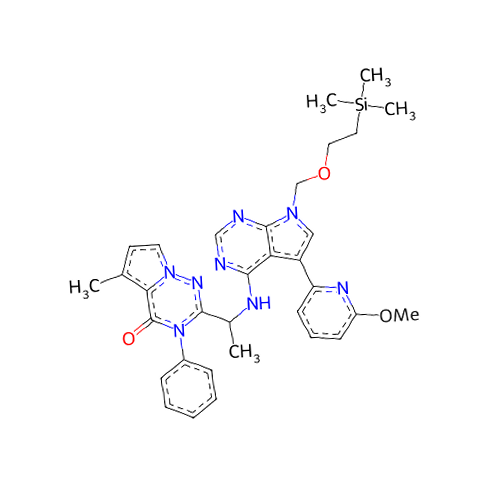 COc1cccc(-c2cn(COCC[Si](C)(C)C)c3ncnc(NC(C)c4nn5ccc(C)c5c(=O)n4-c4ccccc4)c23)n1